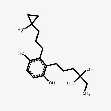 CCC(C)(C)CCCc1c(O)ccc(O)c1CCCC1(C)CC1